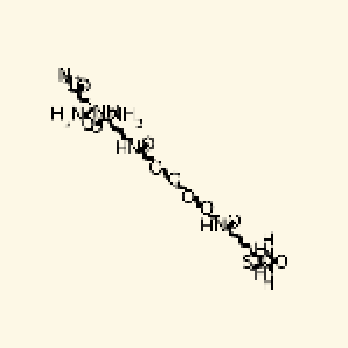 [N-]=[N+]=CC(=O)CC[C@H](NC(=O)[C@@H](N)CCCCNC(=O)CCOCCOCCOCCOCCNC(=O)CCCC[C@@H]1SC[C@@H]2NC(=O)N[C@@H]21)C(N)=O